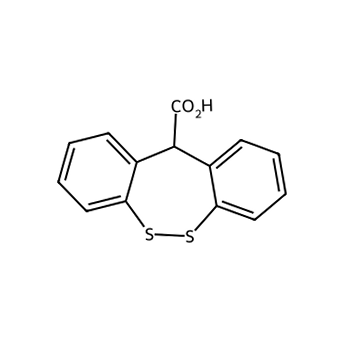 O=C(O)C1c2ccccc2SSc2ccccc21